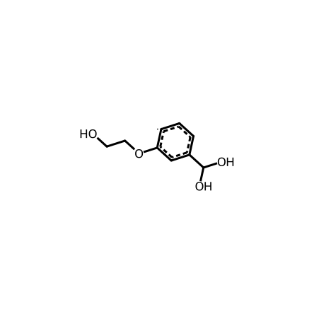 OCCOc1[c]ccc(C(O)O)c1